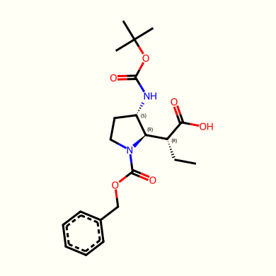 CC[C@@H](C(=O)O)[C@@H]1[C@@H](NC(=O)OC(C)(C)C)CCN1C(=O)OCc1ccccc1